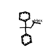 CCCCCCC(C)[CH]C(C)(c1ccccc1)c1ccccc1